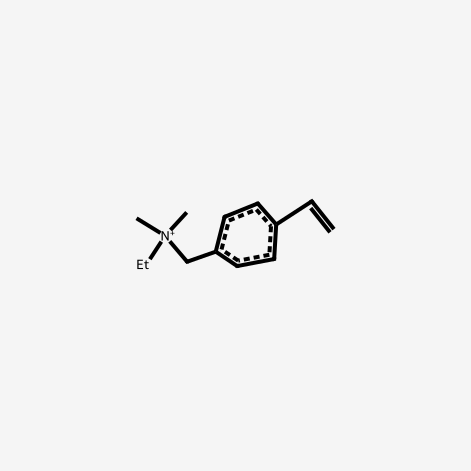 C=Cc1ccc(C[N+](C)(C)CC)cc1